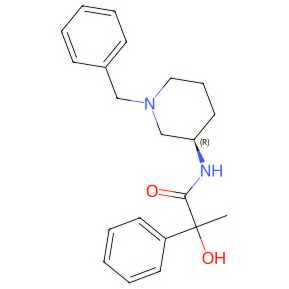 CC(O)(C(=O)N[C@@H]1CCCN(Cc2ccccc2)C1)c1ccccc1